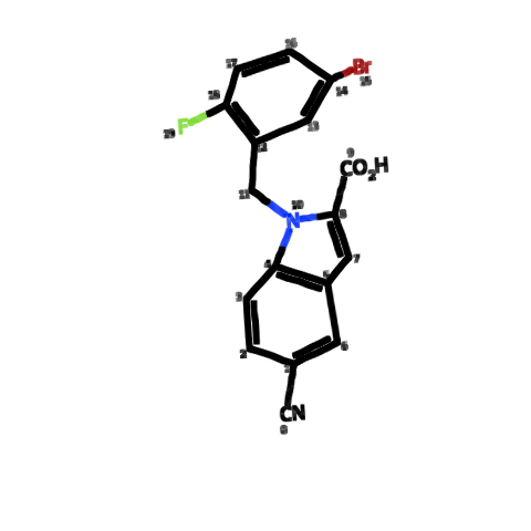 N#Cc1ccc2c(c1)cc(C(=O)O)n2Cc1cc(Br)ccc1F